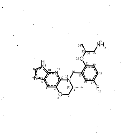 C[C@@H]1COc2cc3nc[nH]c3nc2N1Cc1cc(F)ccc1O[C@@H](C)CN